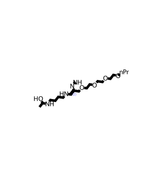 CCCOCCOCCOCCOC/C(=C/NCCCCNC(C)O)N=N